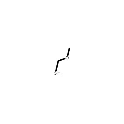 COC[SiH3]